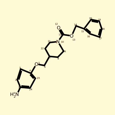 Nc1ccc(OCC2CCN(C(=O)OCc3ccccc3)CC2)cc1